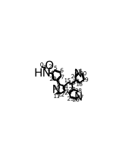 CC(=O)Nc1cccc(-c2ncccc2CC(c2cccnc2)c2cccnc2)c1